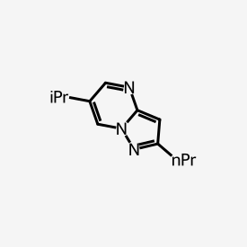 CCCc1cc2ncc(C(C)C)cn2n1